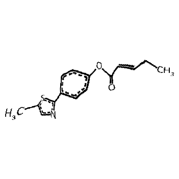 CC/C=C/C(=O)Oc1ccc(-c2ncc(C)s2)cc1